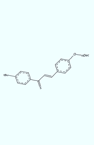 CCCCCCCCCCOc1ccc(C=CC(=S)c2ccc(C(C)(C)C)cc2)cc1